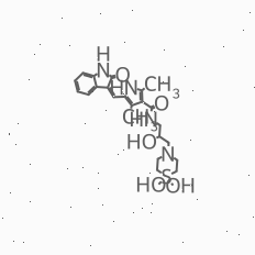 Cc1[nH]c(C=C2C(=O)Nc3ccccc32)c(C)c1C(=O)NCC(O)CN1CCS(O)(O)CC1